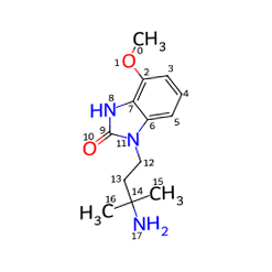 COc1cccc2c1[nH]c(=O)n2CCC(C)(C)N